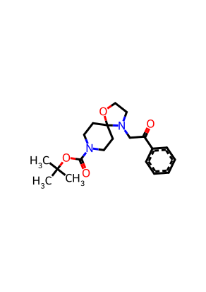 CC(C)(C)OC(=O)N1CCC2(CC1)OCCN2CC(=O)c1ccccc1